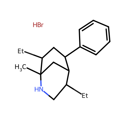 Br.CCC1CNC2(C)CC1C(c1ccccc1)CC2CC